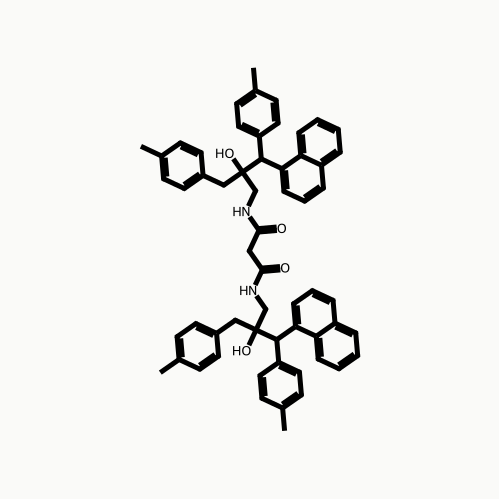 Cc1ccc(CC(O)(CNC(=O)CC(=O)NCC(O)(Cc2ccc(C)cc2)C(c2ccc(C)cc2)c2cccc3ccccc23)C(c2ccc(C)cc2)c2cccc3ccccc23)cc1